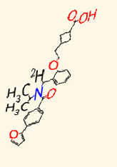 [2H]C(c1ccccc1OCCC1CC(C(=O)O)C1)N(C(=O)c1ccc(-c2ccco2)cc1)C(C)C